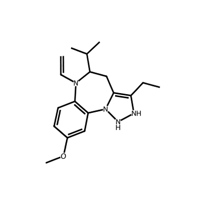 C=CN1c2ccc(OC)cc2N2NNC(CC)=C2CC1C(C)C